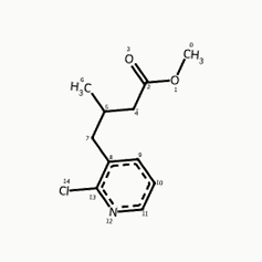 COC(=O)[CH]C(C)Cc1cccnc1Cl